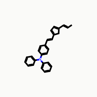 CC=CC1=CC=C(C=Cc2ccc(N(c3ccccc3)c3ccccc3)cc2)C1